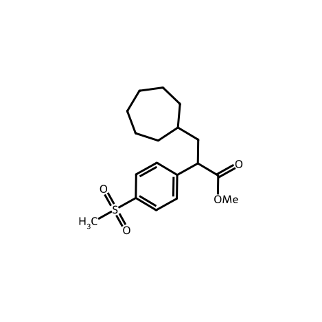 COC(=O)C(CC1CCCCCC1)c1ccc(S(C)(=O)=O)cc1